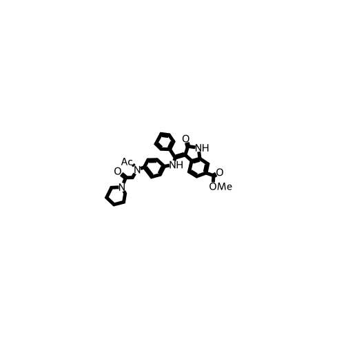 COC(=O)c1ccc2c(c1)NC(=O)/C2=C(/Nc1ccc(N(CC(=O)N2CCCCC2)C(C)=O)cc1)c1ccccc1